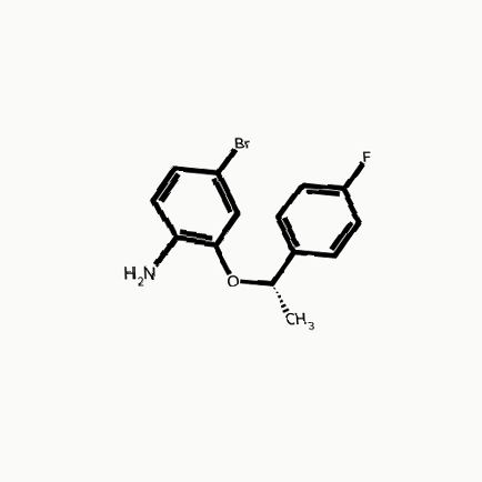 C[C@H](Oc1cc(Br)ccc1N)c1ccc(F)cc1